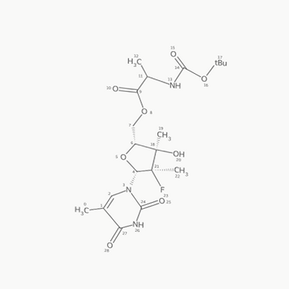 Cc1cn([C@@H]2O[C@H](COC(=O)C(C)NC(=O)OC(C)(C)C)[C@@](C)(O)[C@@]2(C)F)c(=O)[nH]c1=O